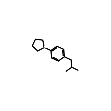 CC(C)Cc1ccc(N2CCCC2)cc1